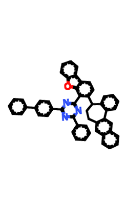 c1ccc(-c2ccc(-c3nc(-c4ccccc4)nc(-c4c(C5CCc6cc7ccccc7cc6-c6ccccc65)ccc5c4oc4ccccc45)n3)cc2)cc1